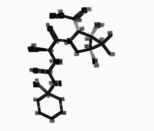 CCC1(NC(=O)N[C@H](C(=O)N2C[C@H]3[C@@H]([C@H]2C(=O)OC)C3(C)C)C(C)(C)C)CCCCC1